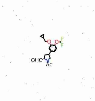 CC(=O)N1CC(c2ccc(OC(F)F)c(OCC3CC3)c2)C[C@@H]1C=O